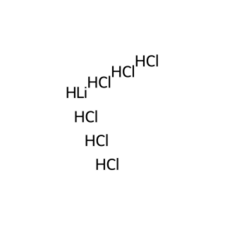 Cl.Cl.Cl.Cl.Cl.Cl.[LiH]